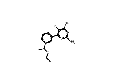 CCOC(C)c1cccc(-c2nc(N)nc(O)c2Br)c1